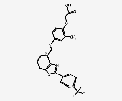 Cc1cc(SC[C@@H]2CCCc3sc(-c4ccc(C(F)(F)F)cc4)nc32)ccc1OCC(=O)O